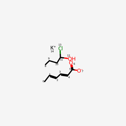 CC=CC=CC(=O)[O-].CCCC(O)Cl.[K+]